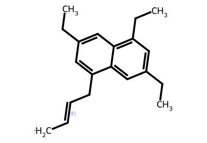 [CH2]/C=C/Cc1cc(CC)cc2c(CC)cc(CC)cc12